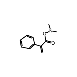 C=C(C(=O)ON(C)C)c1ccccc1